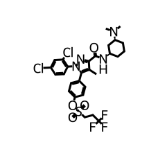 Cc1c(C(=O)N[C@@H]2CCC[C@H](N(C)C)C2)nn(-c2ccc(Cl)cc2Cl)c1-c1ccc(OS(=O)(=O)CCC(F)(F)F)cc1